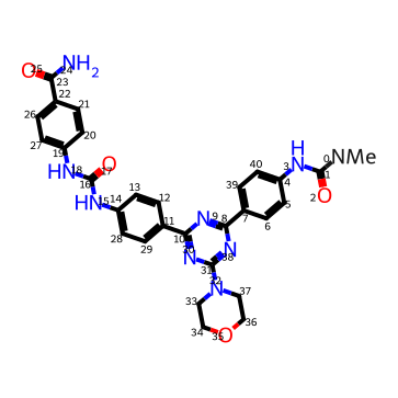 CNC(=O)Nc1ccc(-c2nc(-c3ccc(NC(=O)Nc4ccc(C(N)=O)cc4)cc3)nc(N3CCOCC3)n2)cc1